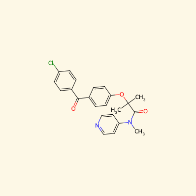 CN(C(=O)C(C)(C)Oc1ccc(C(=O)c2ccc(Cl)cc2)cc1)c1ccncc1